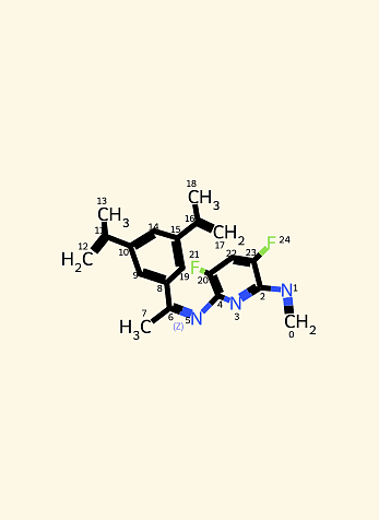 C=Nc1nc(/N=C(/C)c2cc(C(=C)C)cc(C(=C)C)c2)c(F)cc1F